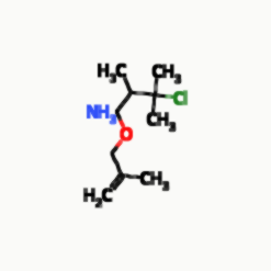 C=C(C)COCC(C)C(C)(C)Cl.N